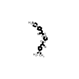 CCN(CC)c1ccc(/C=C(\C#N)C(=O)Oc2ccnc(OC(=O)/C(C#N)=C/c3ccc(N4CCN(C)CC4)cc3)c2)cc1